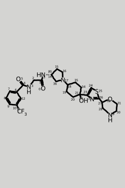 O=C(CNC(=O)c1cccc(C(F)(F)F)c1)N[C@@H]1CCN(C2CCC(O)(c3csc(C4CNCCO4)n3)CC2)C1